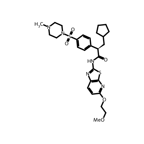 COCCOc1ccc2nc(NC(=O)[C@H](CC3CCCC3)c3ccc(S(=O)(=O)N4CCN(C)CC4)cc3)sc2n1